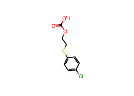 O=C(O)OCCSc1ccc(Cl)cc1